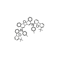 Cc1ccc(N(C2=CC3C(OC4c5ccccc5C(N(c5ccc(C)cc5)c5cccc6c5OC5C(C(C)(C)C)=CC=CC65)=CC43)c3ccccc32)C2=CC=CC3C2OC2C(C(C)(C)C)=CC=CC23)cc1